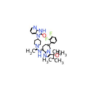 C=C(N[C@@H]1CC[C@@H](c2cccc(F)c2F)Cn2c(C(C)(OC)C(C)C)cnc21)N1CCC(n2c(=O)[nH]c3ncccc32)CC1